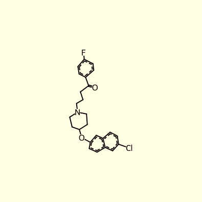 O=C(CCCN1CCC(Oc2ccc3cc(Cl)ccc3c2)CC1)c1ccc(F)cc1